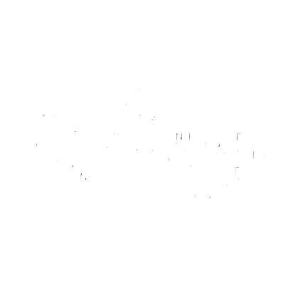 COc1cc2nccc(Oc3ccc(NS(=O)(=O)c4ccccc4OC(F)(F)F)cc3OC)c2cc1OC